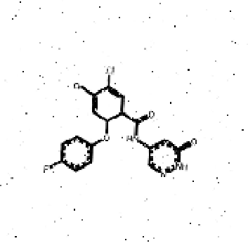 O=C(Nc1cn[nH]c(=O)c1)C1C=C(Cl)C(Cl)=CC1Oc1ccc(F)cc1